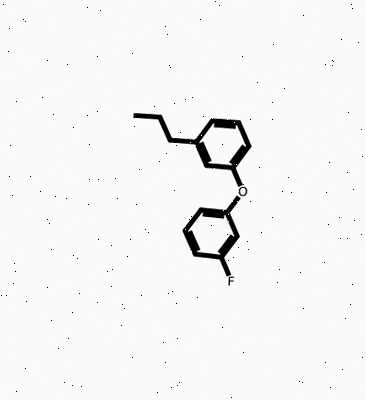 CCCc1cccc(Oc2cccc(F)c2)c1